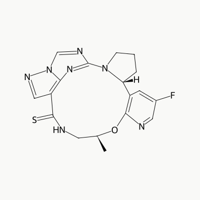 C[C@H]1CNC(=S)c2cnn3cnc(nc23)N2CCC[C@@H]2c2cc(F)cnc2O1